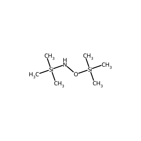 C[Si](C)(C)NO[Si](C)(C)C